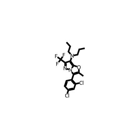 CCCN(CCC)c1c(C(F)(F)F)nn2c(-c3ccc(Cl)cc3Cl)c(C)oc12